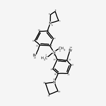 C[Si](C)(c1cc(N2CCC2)ccc1Br)c1cc(N2CCC2)ccc1Br